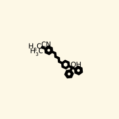 CC(C)(C#N)c1ccc(CCCCC2CCC(C(O)(c3ccccc3)c3ccccc3)CC2)cc1